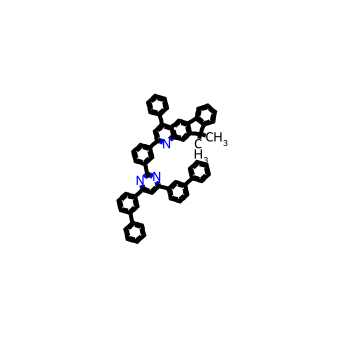 CC1(C)c2ccccc2-c2cc3c(-c4ccccc4)cc(-c4cccc(-c5nc(-c6cccc(-c7ccccc7)c6)cc(-c6cccc(-c7ccccc7)c6)n5)c4)nc3cc21